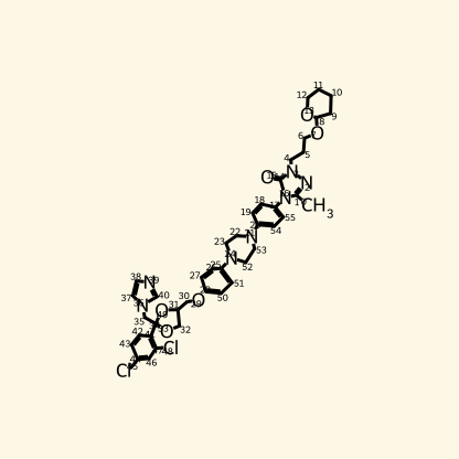 Cc1nn(CCCOC2CCCCO2)c(=O)n1-c1ccc(N2CCN(c3ccc(OCC4COC(Cn5ccnc5)(c5ccc(Cl)cc5Cl)O4)cc3)CC2)cc1